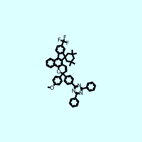 COc1ccc(C2(c3ccc(-c4nc(-c5ccccc5)nc(-c5ccccc5)n4)cc3)C=Cc3c4c(c5ccccc5c3O2)-c2ccc(C(F)(F)F)cc2C42CC(C)(C)CC(C)(C)C2)cc1